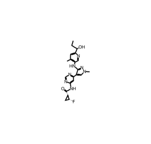 CC[C@@H](O)c1cc(C)c(Nc2nn(C)cc2-c2cc(NC(=O)[C@H]3C[C@H]3F)ncn2)cn1